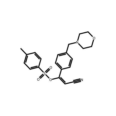 Cc1ccc(S(=O)(=O)OC(=CC#N)c2ccc(CN3CCOCC3)cc2)cc1